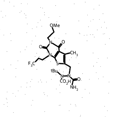 COCCn1c(=O)c2c(C)c(CN(C(N)=O)N(C(=O)O)C(C)(C)C)sc2n(CCC(F)(F)F)c1=O